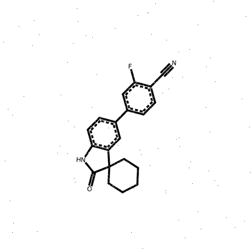 N#Cc1ccc(-c2ccc3c(c2)C2(CCCCC2)C(=O)N3)cc1F